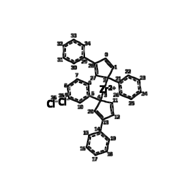 C1=C[C]([Zr+2][C]2(c3ccccc3)C=CC(c3ccccc3)=C2)(c2ccccc2)C=C1c1ccccc1.[Cl-].[Cl-]